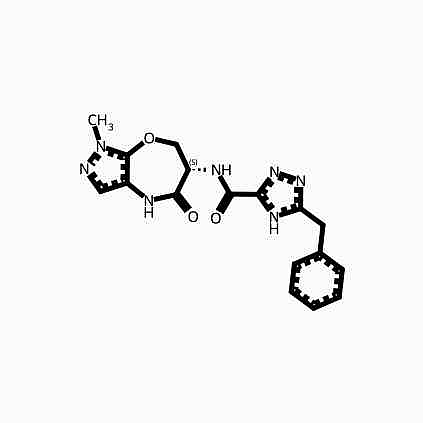 Cn1ncc2c1OC[C@H](NC(=O)c1nnc(Cc3ccccc3)[nH]1)C(=O)N2